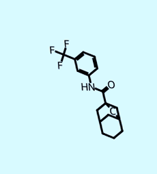 O=C(Nc1cccc(C(F)(F)F)c1)C12CC3CCCC(C3)(C1)C2